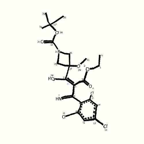 CCOC(=O)/C(C(=N)c1c(Cl)cc(Cl)cc1Cl)=C(/O)C1(OC)CN(C(=O)OC(C)(C)C)C1